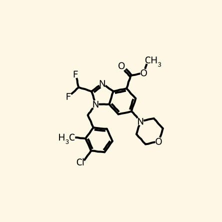 COC(=O)c1cc(N2CCOCC2)cc2c1nc(C(F)F)n2Cc1cccc(Cl)c1C